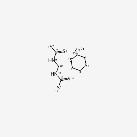 C1CSCCS1.S=C([S-])NCNC(=S)[S-].[Zn+2]